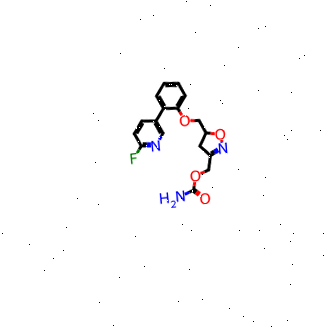 NC(=O)OCC1=NOC(COc2ccccc2-c2ccc(F)nc2)C1